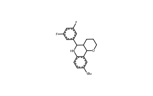 CC(C)(C)c1ccc2c(c1)C1OCCCC1C(c1cc(F)cc(F)c1)N2